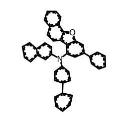 c1ccc(-c2ccc(N(c3ccc4ccccc4c3)c3cc(-c4ccccc4)cc4oc5c6ccccc6ccc5c34)cc2)cc1